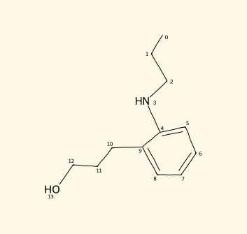 CCCNc1ccccc1CCCO